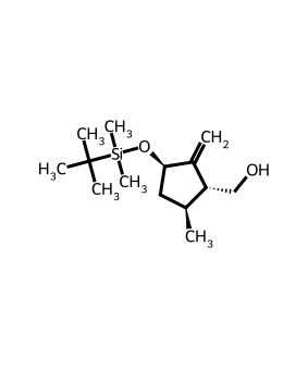 C=C1[C@H](O[Si](C)(C)C(C)(C)C)C[C@H](C)[C@H]1CO